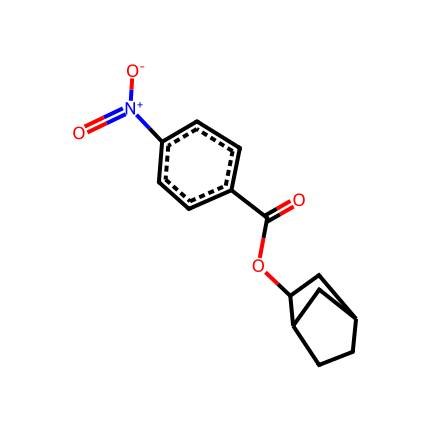 O=C(OC1CC2CCC1C2)c1ccc([N+](=O)[O-])cc1